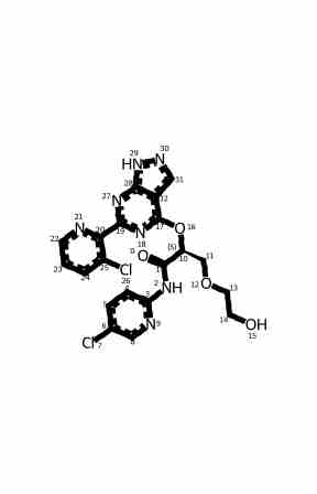 O=C(Nc1ccc(Cl)cn1)[C@H](COCCO)Oc1nc(-c2ncccc2Cl)nc2[nH]ncc12